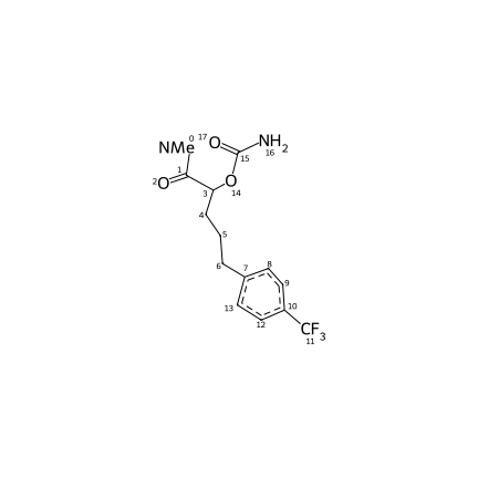 CNC(=O)C(CCCc1ccc(C(F)(F)F)cc1)OC(N)=O